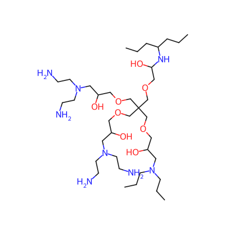 CCCC(CCC)NC(O)COCC(COCC(O)CN(CCC)CCC)(COCC(O)CN(CCN)CCN)COCC(O)CN(CCN)CCN